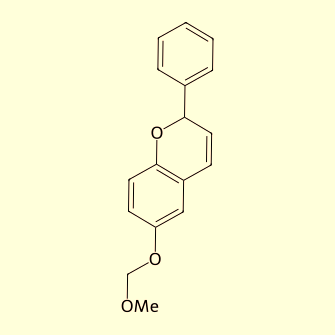 COCOc1ccc2c(c1)C=CC(c1ccccc1)O2